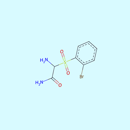 NC(=O)C(N)S(=O)(=O)c1ccccc1Br